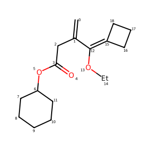 C=C(CC(=O)OC1CCCCC1)C(OCC)=C1CCC1